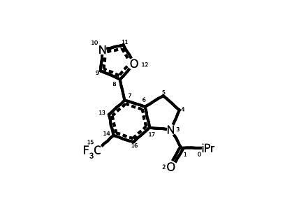 CC(C)C(=O)N1CCc2c(-c3cnco3)cc(C(F)(F)F)cc21